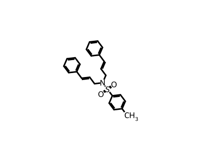 Cc1ccc(S(=O)(=O)N(C/C=C/c2ccccc2)C/C=C/c2ccccc2)cc1